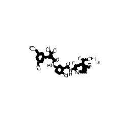 C=C(F)c1c(F)cnc(NC(=O)c2cc(NC(=O)C3C(c4cc(Cl)cc(Cl)c4)C3(Cl)Cl)ccc2Cl)c1F